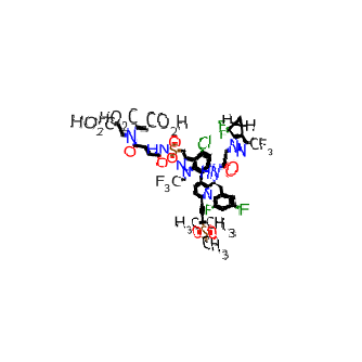 CC(C)(C#Cc1ccc(-c2ccc(Cl)c3c(CS(=O)(=O)NC(=O)/C=C/C(=O)N(CCC(=O)O)[C@@H](CC(=O)O)C(=O)O)nn(CC(F)(F)F)c23)c([C@H](Cc2cc(F)cc(F)c2)NC(=O)Cn2nc(C(F)(F)F)c3c2C(F)(F)[C@@H]2C[C@H]32)n1)S(C)(=O)=O